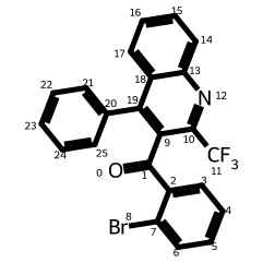 O=C(c1ccccc1Br)c1c(C(F)(F)F)nc2ccccc2c1-c1ccccc1